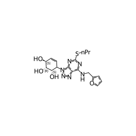 CCCSc1nc(NCc2ccco2)c2nnn(C3C=C[C@H](O)[C@@H](O)[C@H]3O)c2n1